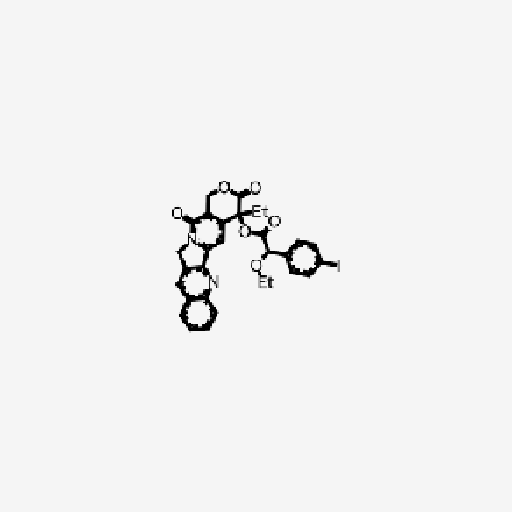 CCOC(C(=O)OC1(CC)C(=O)OCc2c1cc1n(c2=O)Cc2cc3ccccc3nc2-1)c1ccc(I)cc1